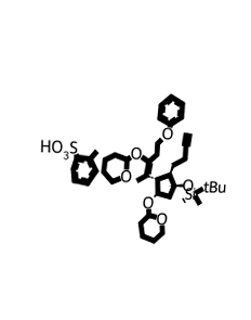 C#CCC[C@@H]1[C@@H](/C(C)=C(\CCOc2ccccc2)OC2CCCCO2)[C@@H](OC2CCCCO2)C[C@@H]1O[Si](C)(C)C(C)(C)C.Cc1ccccc1S(=O)(=O)O